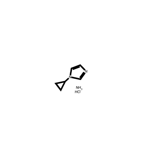 Cl.N.c1cn(C2CC2)cn1